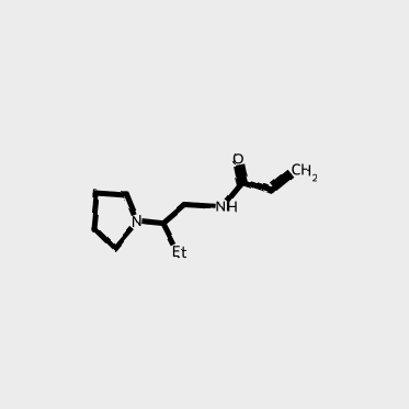 C=CC(=O)NCC(CC)N1CCCC1